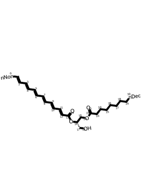 CCCCCCCCCC=CC=CC=CC=CC=CC=CC(=O)O[C@@H](CO)COC(=O)CCCCCCCCCCCCCCCCC